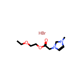 Br.CCOCCOC(=O)CN1C=CN(C)C1